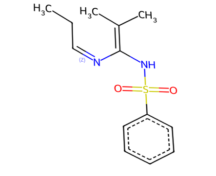 CC/C=N\C(NS(=O)(=O)c1ccccc1)=C(C)C